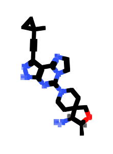 C[C@@H]1OCC2(CCN(c3nc4[nH]nc(C#CC5(C)CC5)c4c4nccn34)CC2)[C@@H]1N